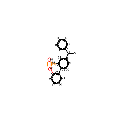 CC(c1ccccc1)c1ccc2c(c1)[PH](=O)Oc1ccccc1-2